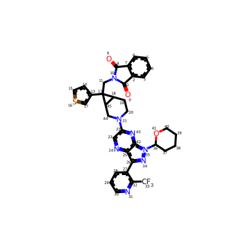 O=C1c2ccccc2C(=O)N1CC1(c2ccsc2)C2CCN(c3cnc4c(-c5cccnc5C(F)(F)F)nn(C5CCCCO5)c4n3)CC21